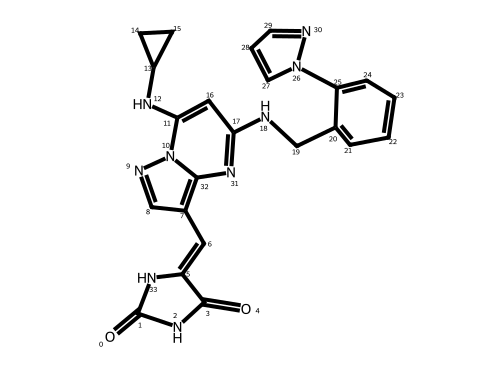 O=C1NC(=O)/C(=C/c2cnn3c(NC4CC4)cc(NCc4ccccc4-n4cccn4)nc23)N1